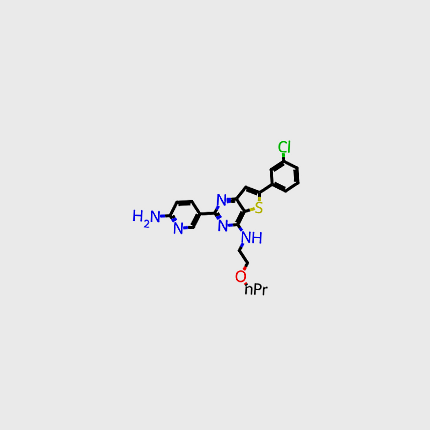 CCCOCCNc1nc(-c2ccc(N)nc2)nc2cc(-c3cccc(Cl)c3)sc12